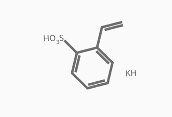 C=Cc1ccccc1S(=O)(=O)O.[KH]